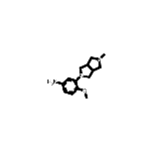 COc1ccc(N)cc1N1CC2CN(C)CC2C1